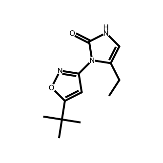 CCc1c[nH]c(=O)n1-c1cc(C(C)(C)C)on1